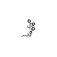 CCCCCC(=O)N(C)Cc1cc(-c2cccc(Nc3ccccc3C(=O)c3ccccc3)c2OC(=O)CC)cs1